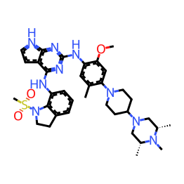 COc1cc(N2CCC(N3C[C@@H](C)N(C)[C@@H](C)C3)CC2)c(C)cc1Nc1nc(Nc2cccc3c2N(S(C)(=O)=O)CC3)c2cc[nH]c2n1